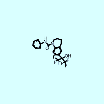 O=C(Nc1ccccc1)N1CCCCc2cc(C(O)(C(F)(F)F)C(F)(F)F)ccc21